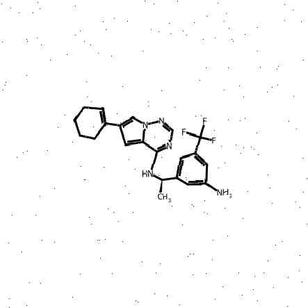 C[C@@H](Nc1ncnn2cc(C3=CCCCC3)cc12)c1cc(N)cc(C(F)(F)F)c1